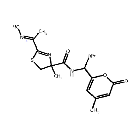 CCCC(NC(=O)C1(C)CSC(/C(C)=N/O)=N1)c1cc(C)cc(=O)o1